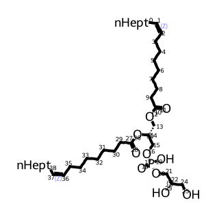 CCCCCCC/C=C\CCCCCCCC(=O)OC[C@H](COP(=O)(O)OC[C@@H](O)CO)OC(=O)CCCCCCC/C=C\CCCCCCC